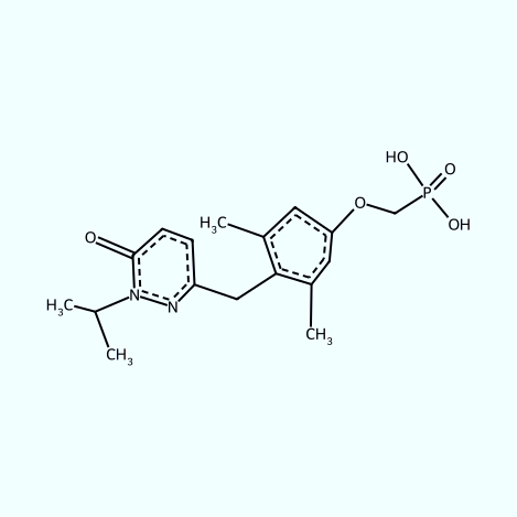 Cc1cc(OCP(=O)(O)O)cc(C)c1Cc1ccc(=O)n(C(C)C)n1